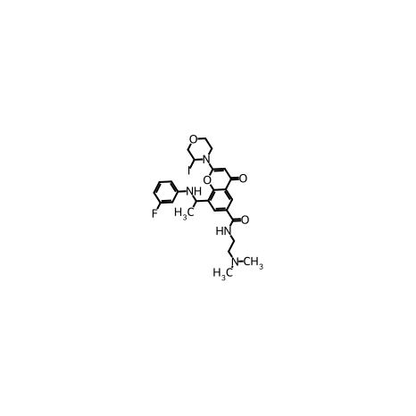 CC(Nc1cccc(F)c1)c1cc(C(=O)NCCN(C)C)cc2c(=O)cc(N3CCOCC3I)oc12